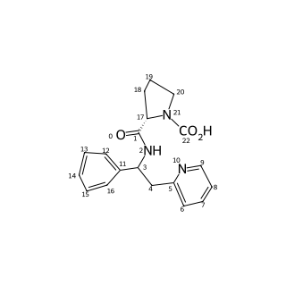 O=C(NC(Cc1ccccn1)c1ccccc1)[C@@H]1CCCN1C(=O)O